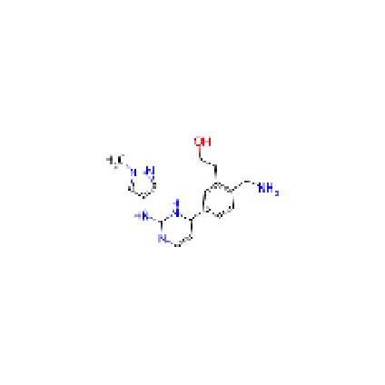 Cn1cc(NC2=NC=CC(c3ccc(CN)c(CCO)c3)N2)cn1